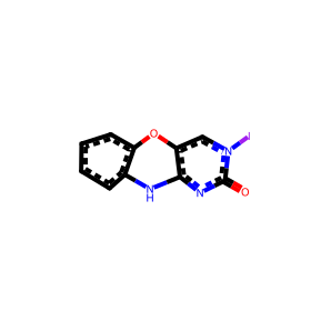 O=c1nc2c(cn1I)Oc1ccccc1N2